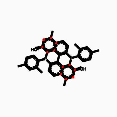 Cc1ccc(P(c2ccc(C)cc2C)c2ccc3ccc(O)cc3c2-c2c(P(c3ccc(C)cc3C)c3ccc(C)cc3C)ccc3ccc(O)cc23)c(C)c1